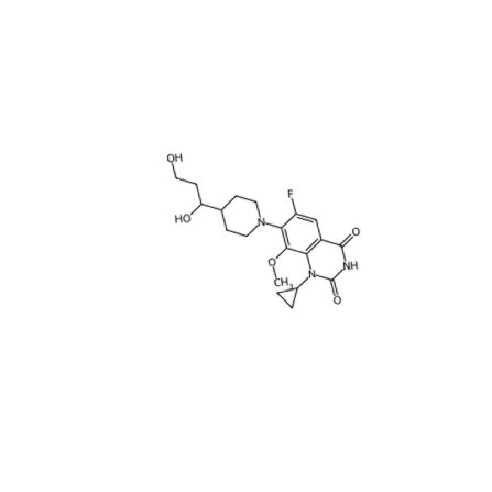 COc1c(N2CCC(C(O)CCO)CC2)c(F)cc2c(=O)[nH]c(=O)n(C3CC3)c12